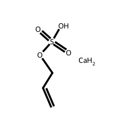 C=CCOS(=O)(=O)O.[CaH2]